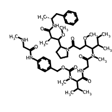 CCC(C)C(C(CC(=O)N1CCCC1C(OC)[C@@H](C)C(=O)N[C@H](C)Cc1ccccc1)OC)N(C)C(=O)CNC(=O)C(C(C)C)N(C)C(=O)OCc1ccc(NC(=O)CNC)cc1